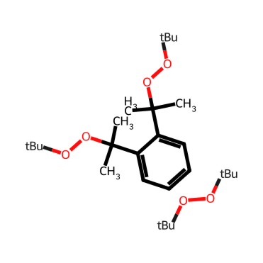 CC(C)(C)OOC(C)(C)C.CC(C)(C)OOC(C)(C)c1ccccc1C(C)(C)OOC(C)(C)C